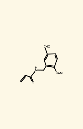 C=CC(=O)NCc1cc(C=O)ccc1OC